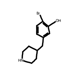 Oc1cc(CC2CCNCC2)ccc1Br